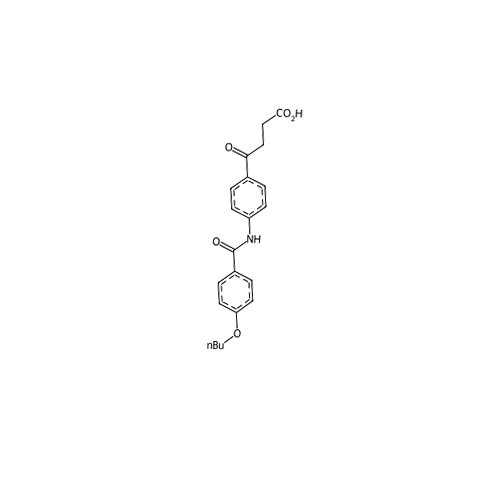 CCCCOc1ccc(C(=O)Nc2ccc(C(=O)CCC(=O)O)cc2)cc1